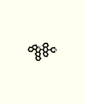 c1ccc2cc3c(cc2c1)c(-c1c2ccccc2c(-c2ccncc2)c2ccccc12)nc1ccc2ccccc2c13